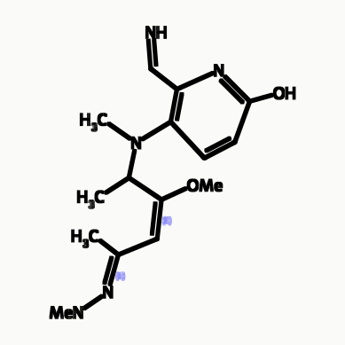 CN/N=C(C)/C=C(/OC)C(C)N(C)c1ccc(O)nc1C=N